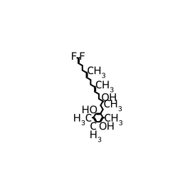 C/C(=C\CC/C(C)=C/CC[C@](C)(O)CCc1c(C)c(O)c(C)c(C)c1O)CCC=C(F)F